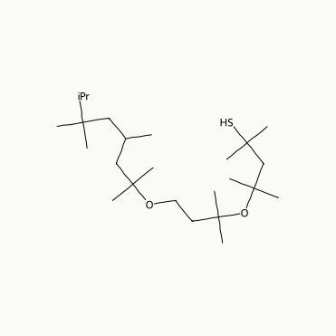 CC(CC(C)(C)OCCC(C)(C)OC(C)(C)CC(C)(C)S)CC(C)(C)C(C)C